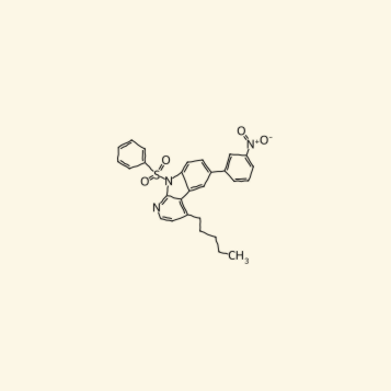 CCCCCc1ccnc2c1c1cc(-c3cccc([N+](=O)[O-])c3)ccc1n2S(=O)(=O)c1ccccc1